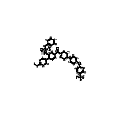 CCN1CCN(c2ccc(C(=O)N3CCC(c4ccc(Oc5cnc(C(F)(F)F)cn5)cc4)CC3)cc2NS(=O)(=O)Cc2ccccc2)CC1